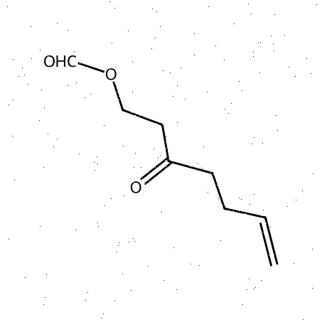 C=CCCC(=O)CCOC=O